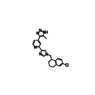 Cc1[nH]nnc1-c1ccnc(-c2cn(C[C@@H]3CCCc4cc(Cl)ccc43)cn2)c1